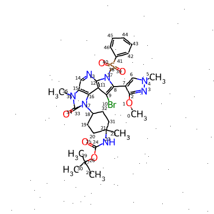 COc1nn(C)cc1-c1c(Br)c2c(ncc3c2n(C2CCC(C)(NC(=O)OC(C)(C)C)CC2)c(=O)n3C)n1S(=O)(=O)c1ccccc1